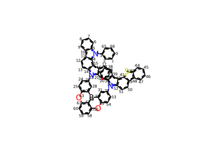 c1ccc(-n2c3ccccc3c3ccc4c(c5ccccc5n4-c4ccc5c(c4)B4c6cc(-n7c8ccccc8c8c9sc%10ccccc%10c9ccc87)ccc6Oc6cccc(c64)O5)c32)cc1